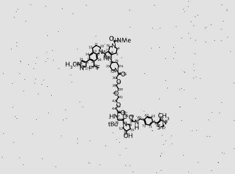 CNC(=O)N1CCc2c(c(N3CCCc4cc(-c5cnn(C)c5)c(C(F)F)cc43)nn2C2CCN(C(=O)COCCOCCOCC(=O)N[C@H](C(=O)N3C[C@H](O)C[C@H]3C(=O)NCc3ccc(-c4scnc4C)cc3)C(C)(C)C)CC2)C1